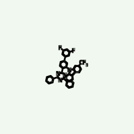 Fc1cc(F)cc(-c2ccc(-c3nc(-c4ccccc4)nc(-c4ccccc4)n3)c(-n3c4ccccc4c4ccc(C(F)(F)F)cc43)c2)c1